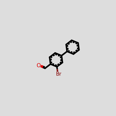 O=Cc1ccc(-c2ccccc2)cc1Br